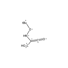 CC(C)(C)ONC(=C=O)C(=O)O